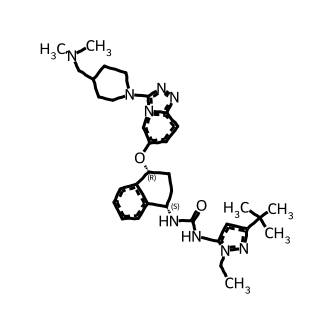 CCn1nc(C(C)(C)C)cc1NC(=O)N[C@H]1CC[C@@H](Oc2ccc3nnc(N4CCC(CN(C)C)CC4)n3c2)c2ccccc21